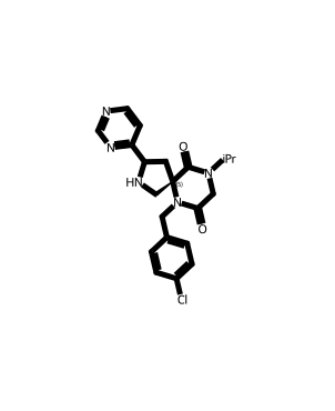 CC(C)N1CC(=O)N(Cc2ccc(Cl)cc2)[C@@]2(CNC(c3ccncn3)C2)C1=O